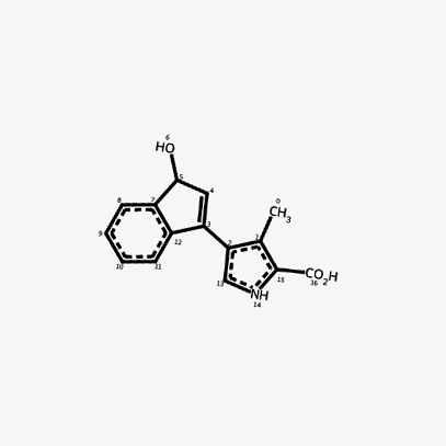 Cc1c(C2=CC(O)c3ccccc32)c[nH]c1C(=O)O